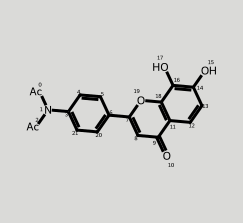 CC(=O)N(C(C)=O)c1ccc(-c2cc(=O)c3ccc(O)c(O)c3o2)cc1